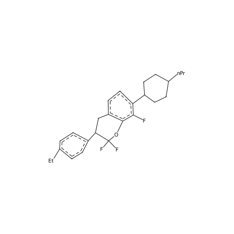 CCCC1CCC(c2ccc3c(c2F)OC(F)(F)C(c2ccc(CC)cc2)C3)CC1